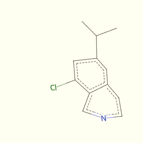 CC(C)c1cc(Cl)c2cnccc2c1